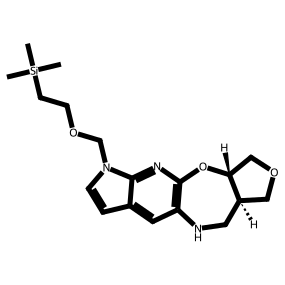 C[Si](C)(C)CCOCn1ccc2cc3c(nc21)O[C@@H]1COC[C@H]1CN3